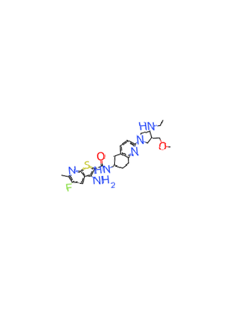 CCNC1CN(c2ccc3c(n2)CCC(NC(=O)c2sc4nc(C)c(F)cc4c2N)C3)CC1COC